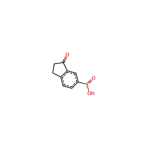 O=C1CCc2ccc(S(=O)O)cc21